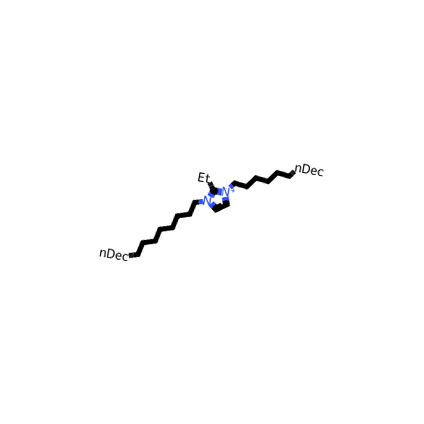 CCCCCCCCCCCCCCCCCCn1cc[n+](CCCCCCCCCCCCCCCC)c1CC